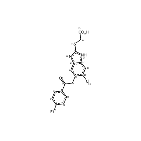 CCc1ccc(C(=O)Cc2cc3nc(SCC(=O)O)[nH]c3cc2Cl)cc1